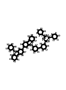 c1ccc(-c2nc(-c3ccccc3)nc(-c3cccc(-c4cccc(-n5c6ccccc6c6ccc(-c7ccc8c9ccccc9n(-c9ccccc9)c8c7)cc65)c4)c3)n2)cc1